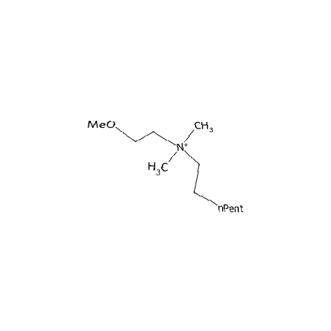 CCCCCCC[N+](C)(C)CCOC